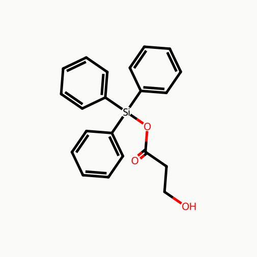 O=C(CCO)O[Si](c1ccccc1)(c1ccccc1)c1ccccc1